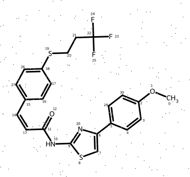 COc1ccc(-c2csc(NC(=O)/C=C\c3ccc(SCCC(F)(F)F)cc3)n2)cc1